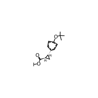 CC(C)(C)Oc1ccc([C@@H]2C[C@H]2C(=O)OI)cc1